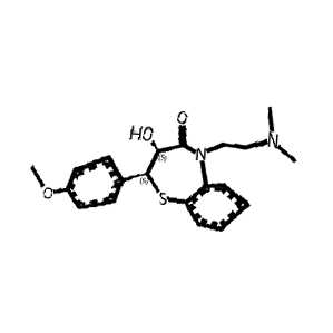 COc1ccc([C@@H]2Sc3ccccc3N(CCN(C)C)C(=O)[C@@H]2O)cc1